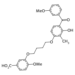 COc1cccc(C(=O)c2ccc(OCCCCOc3cc(C(=O)O)ccc3OC)c(C)c2O)c1